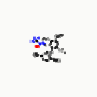 COc1cc([N+](=O)[O-])c([N+](=O)[O-])c(C=NN(O)C(=N)N)c1OC.Cc1ccc(S(=O)(=O)O)cc1